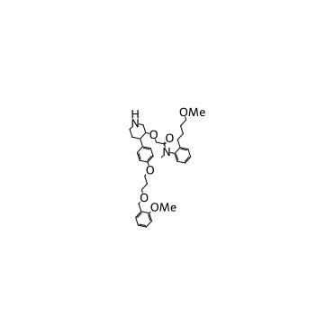 COCCCCc1ccccc1N(C)C(=O)COC1CNCCC1c1ccc(OCCCOCc2ccccc2OC)cc1